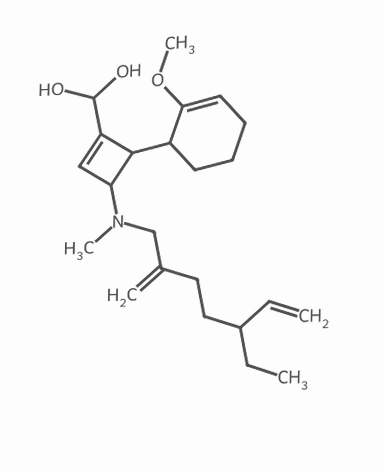 C=CC(CC)CCC(=C)CN(C)C1C=C(C(O)O)C1C1CCCC=C1OC